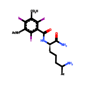 CC(=O)Nc1c(I)c(C(=O)O)c(I)c(C(=O)N[C@@H](CCCC(N)C(C)=O)C(N)=O)c1I